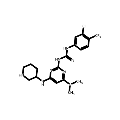 CN(C)c1cc(NC2CCCNC2)nc(NC(=O)Nc2ccc(C(F)(F)F)c(Cl)c2)n1